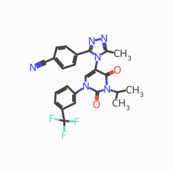 Cc1nnc(-c2ccc(C#N)cc2)n1-c1cn(-c2cccc(C(F)(F)F)c2)c(=O)n(C(C)C)c1=O